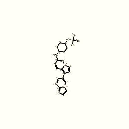 [2H]C([2H])([2H])O[C@H]1CC[C@@H](Nc2ncc3c(-c4cnc5nccn5c4)ccn3n2)CC1